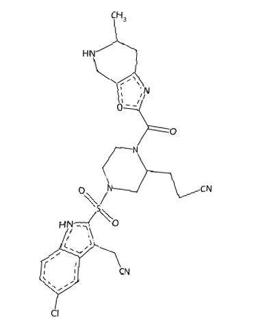 CC1Cc2nc(C(=O)N3CCN(S(=O)(=O)c4[nH]c5ccc(Cl)cc5c4CC#N)CC3CCC#N)oc2CN1